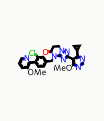 COc1cccnc1-c1ccc(CN2C(=O)CCn3nc(-c4c(OC)ncnc4C4CC4)nc32)cc1Cl